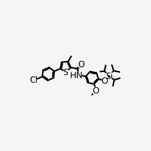 COc1cc(NC(=O)c2sc(-c3ccc(Cl)cc3)cc2C)ccc1O[Si](C(C)C)(C(C)C)C(C)C